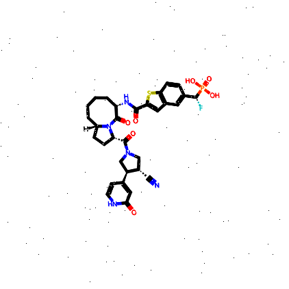 N#C[C@H]1CN(C(=O)[C@@H]2CC[C@@H]3CCCC[C@H](NC(=O)c4cc5cc([C@@H](F)P(=O)(O)O)ccc5s4)C(=O)N32)C[C@@H]1c1cc[nH]c(=O)c1